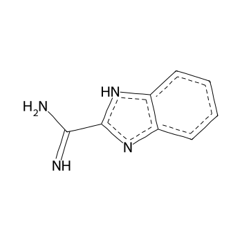 N=C(N)c1nc2ccccc2[nH]1